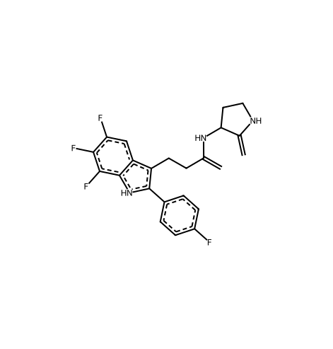 C=C(CCc1c(-c2ccc(F)cc2)[nH]c2c(F)c(F)c(F)cc12)NC1CCNC1=C